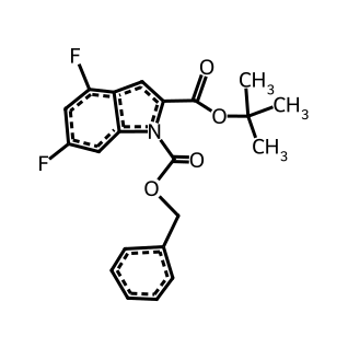 CC(C)(C)OC(=O)c1cc2c(F)cc(F)cc2n1C(=O)OCc1ccccc1